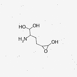 NC(CCC1OC1O)C(O)O